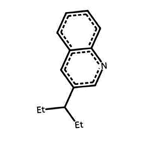 CCC(CC)c1cnc2ccccc2c1